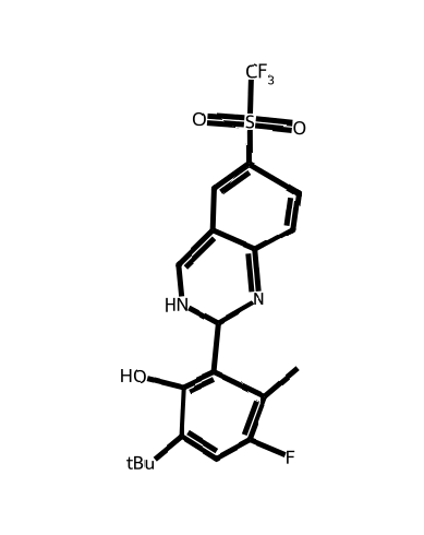 Cc1c(F)cc(C(C)(C)C)c(O)c1C1N=c2ccc(S(=O)(=O)C(F)(F)F)cc2=CN1